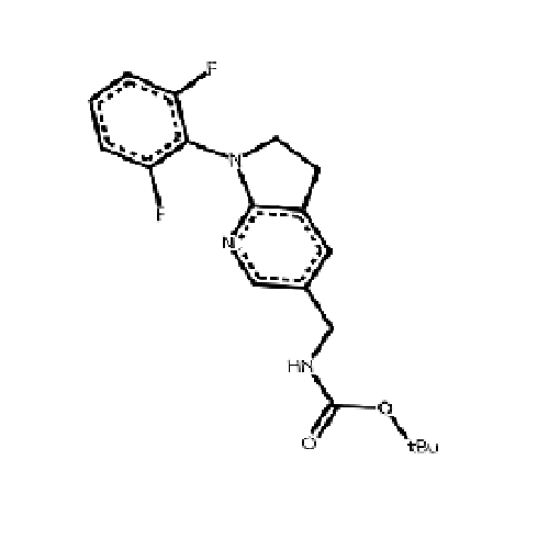 CC(C)(C)OC(=O)NCc1cnc2c(c1)CCN2c1c(F)cccc1F